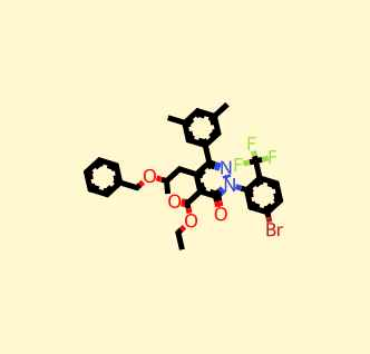 CCOC(=O)c1c(CC(C)OCc2ccccc2)c(-c2cc(C)cc(C)c2)nn(-c2cc(Br)ccc2C(F)(F)F)c1=O